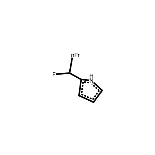 CCCC(F)c1ccc[nH]1